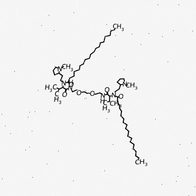 CCCCCCCCCCCCCCCCCCCC(=O)N(CCC1CCCN1C)C(C(=O)NCCOCCOCCNC(=O)C(C(C)C)N(CCC1CCCN1C)C(=O)CCCCCCCCCCCCCCCCCCC)C(C)C